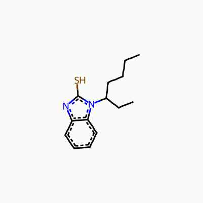 CCCCC(CC)n1c(S)nc2ccccc21